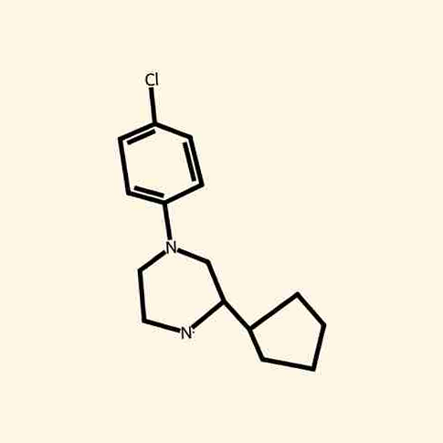 Clc1ccc(N2CC[N]C(C3CCCC3)C2)cc1